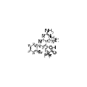 CCNc1nc(N)nc2nc(-c3ccccc3Br)ccc12.O=C(O)C(F)(F)F